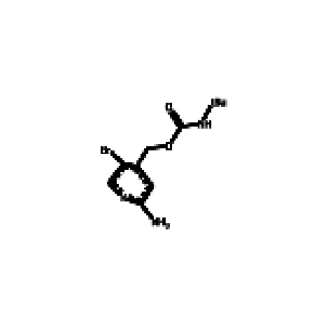 CC(C)(C)NC(=O)OCc1cc(N)ncc1Br